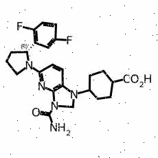 NC(=O)N1CN(C2CCC(C(=O)O)CC2)c2ccc(N3CCC[C@@H]3c3cc(F)ccc3F)nc21